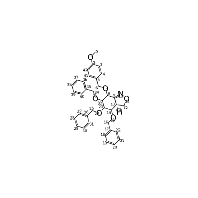 COc1ccc(COC2C3=NOC[C@H]3C(OCc3ccccc3)C(OCc3ccccc3)C2OCc2ccccc2)cc1